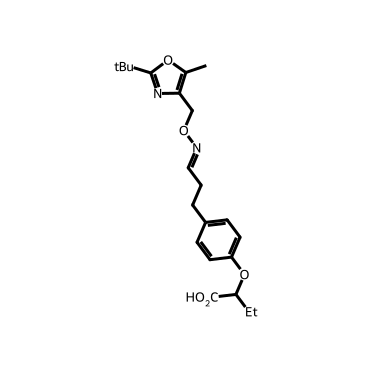 CCC(Oc1ccc(CCC=NOCc2nc(C(C)(C)C)oc2C)cc1)C(=O)O